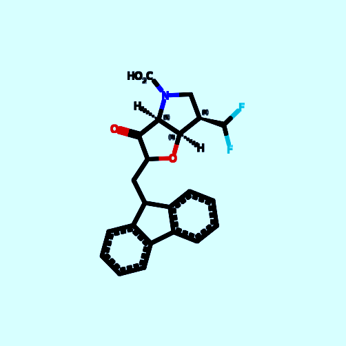 O=C1C(CC2c3ccccc3-c3ccccc32)O[C@H]2[C@@H]1N(C(=O)O)C[C@H]2C(F)F